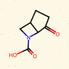 O=C1CCC2CN(C(=O)O)C12